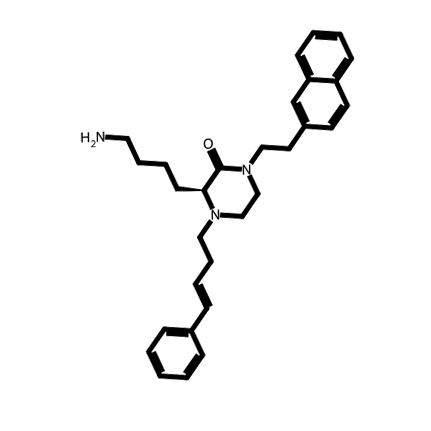 NCCCC[C@H]1C(=O)N(CCc2ccc3ccccc3c2)CCN1CC/C=C/c1ccccc1